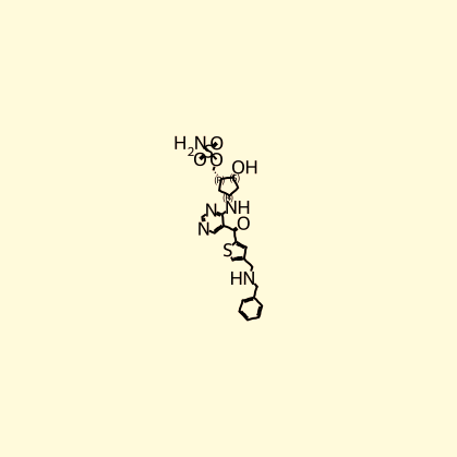 NS(=O)(=O)OC[C@H]1C[C@@H](Nc2ncncc2C(=O)c2cc(CNCc3ccccc3)cs2)C[C@@H]1O